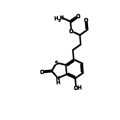 NC(=O)OC(C=O)CCc1ccc(O)c2[nH]c(=O)sc12